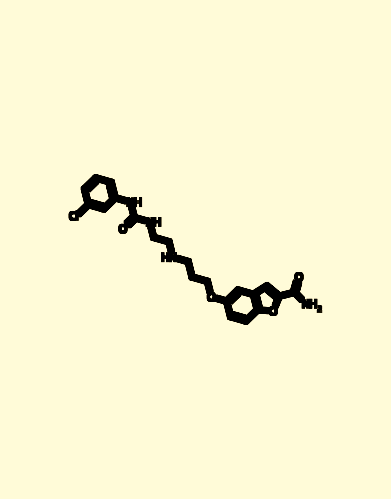 NC(=O)c1cc2cc(OCCCNCCNC(=O)Nc3cccc(Cl)c3)ccc2o1